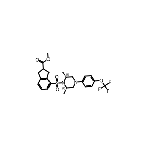 COC(=O)C1Cc2cccc(S(=O)(=O)N3[C@H](C)CN(c4ccc(OC(F)(F)F)cc4)C[C@@H]3C)c2C1